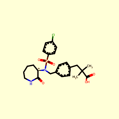 CC(C)(Cc1ccc(CN([C@@H]2CCCCNC2=O)S(=O)(=O)c2ccc(Cl)cc2)cc1)C(=O)O